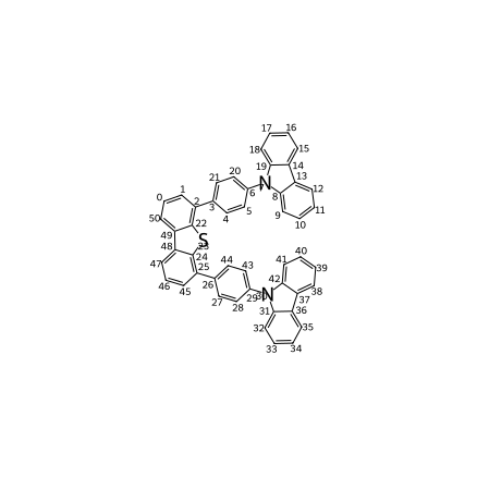 c1cc(-c2ccc(-n3c4ccccc4c4ccccc43)cc2)c2sc3c(-c4ccc(-n5c6ccccc6c6ccccc65)cc4)cccc3c2c1